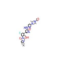 CC1CN(c2ccc(Nc3cc(-c4cc(F)cc(N5CCn6c(cc7c6CC(C)(C)C7)C5=O)c4CO)cn(C)c3=O)nc2)[C@@H](C)CN1C1COC1